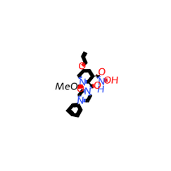 C=CCO[C@H]1C[C@H](C(=O)NO)[C@@H](C(=O)N2CCN(c3ccccc3)CC2)N(C(=O)OC)C1